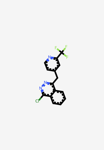 FC(F)(F)c1cc(Cc2nnc(Cl)c3ccccc23)ccn1